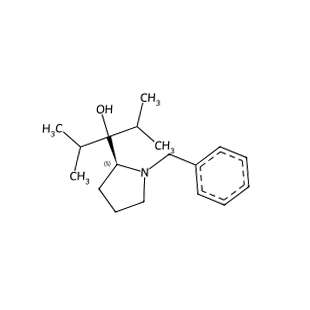 CC(C)C(O)(C(C)C)[C@@H]1CCCN1Cc1ccccc1